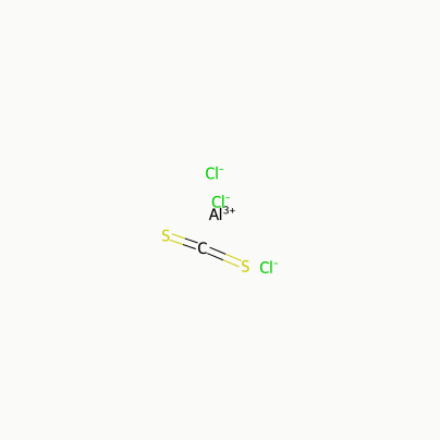 S=C=S.[Al+3].[Cl-].[Cl-].[Cl-]